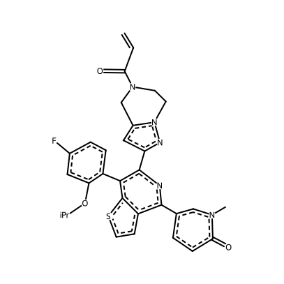 C=CC(=O)N1CCn2nc(-c3nc(-c4ccc(=O)n(C)c4)c4ccsc4c3-c3ccc(F)cc3OC(C)C)cc2C1